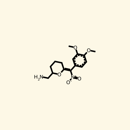 COc1ccc(C(=C2CCCC(CN)O2)[N+](=O)[O-])cc1OC